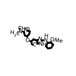 COc1ccccc1Nc1nc2cc(Oc3ccnc(N(C)C=O)c3)ccc2[nH]1